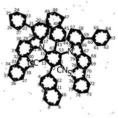 N#Cc1c(-c2ccc3ccccc3c2)c(C#N)c(-n2c3cccc(-c4ccccc4)c3c3ccc4c5ccccc5sc4c32)c(-c2ccc3ccccc3c2)c1-n1c2cccc(-c3ccccc3)c2c2ccc3c4ccccc4sc3c21